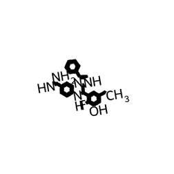 CCc1cc(O)c(F)c(C(Nc2ccc(C(=N)N)cc2)c2nc(-c3ccccc3)c[nH]2)c1